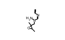 C=C/N=C\N(N)CC1(C)OC1C